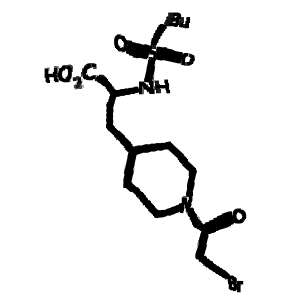 CCC(C)S(=O)(=O)NC(CC1CCN(C(=O)CBr)CC1)C(=O)O